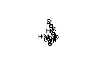 CC(C)(C)[C@H](NC(=O)[C@@H](CC(=O)NO)CC1CCCC1)C(=O)N1CCC(NC(=O)c2ccc(C(F)(F)F)cc2)CC1